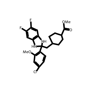 COC(=O)C1CCC(CC2(c3ccc(Cl)cc3OC)Nc3cc(F)c(F)cc3N2)CC1